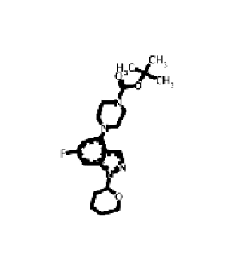 CC(C)(C)OC(=O)N1CCN(c2cc(F)cc3c2cnn3C2CCCCO2)CC1